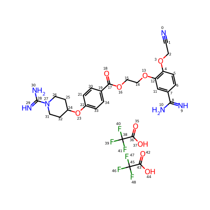 N#CCOc1ccc(C(=N)N)cc1OCCOC(=O)c1ccc(OC2CCN(C(=N)N)CC2)cc1.O=C(O)C(F)(F)F.O=C(O)C(F)(F)F